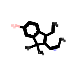 Bc1ccc2c(c1)C(C)(C)C(/C=C\C)=C2C=C